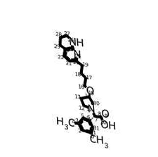 Cc1cc(C)cc([C@@H](C(=O)O)N2CC[C@@H](OCCCCc3ccc4c(n3)NCCC4)C2)c1